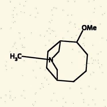 COC1CCCC2CCC1CN(C)C2